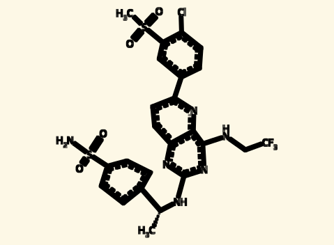 C[C@@H](Nc1nc(NCC(F)(F)F)c2nc(-c3ccc(Cl)c(S(C)(=O)=O)c3)ccc2n1)c1ccc(S(N)(=O)=O)cc1